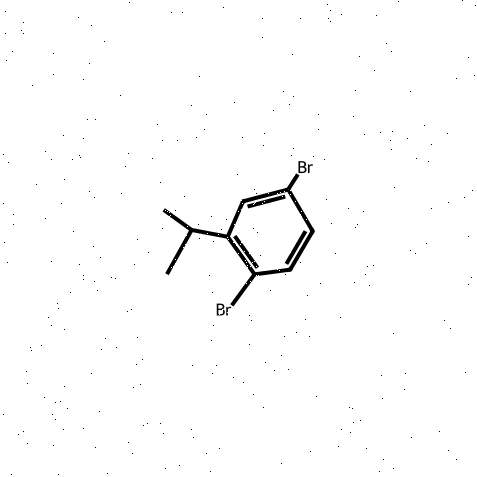 CC(C)c1cc(Br)ccc1Br